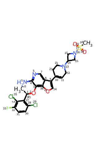 C[C@@H](Oc1c(N)ncc2c(C3=CCN(C4CN(S(C)(=O)=O)C4)CC3)coc12)c1c(Cl)ccc(F)c1Cl